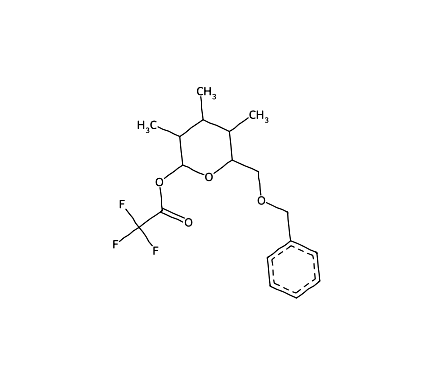 CC1C(COCc2ccccc2)OC(OC(=O)C(F)(F)F)C(C)C1C